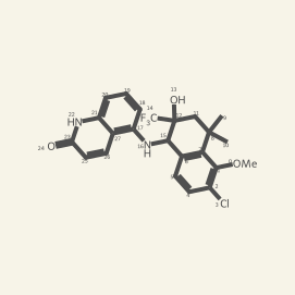 COc1c(Cl)ccc2c1C(C)(C)CC(O)(C(F)(F)F)C2Nc1cccc2[nH]c(=O)ccc12